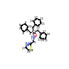 C(=NO[Si](Cc1ccccc1)(Cc1ccccc1)Cc1ccccc1)c1nccs1